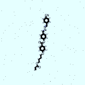 C=CC(=O)OCCCCOc1ccc(C(=O)Oc2ccc(/C=N/N=C/c3ccc(C#N)cc3)cc2)cc1